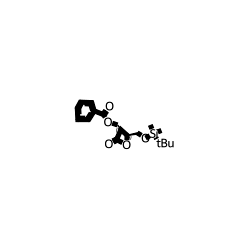 CC(C)(C)[Si](C)(C)OC[C@H]1OC(=O)[C@@H]1COC(=O)c1ccccc1